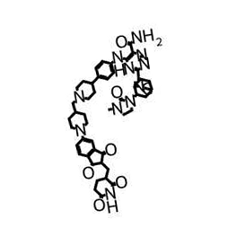 CN1CCN(C2CC3CCC2N(c2nnc(C(N)=O)c(Nc4ccc(C5CCN(CC6CCN(c7ccc8c(c7)C(=O)C(CC7CCC(=O)NC7=O)C8=O)CC6)CC5)cc4)n2)C3)C1=O